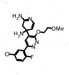 COCCOc1nnc(-c2cc(Cl)ccc2F)cc1C1(N)C=CN=C(N)C1